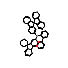 C1=CCC2C3=CCC(N(C4=CC5=C(CC4)C4=C(C=CCC4)C54C5=C(CCC=C5)C5=C4C=CCC5)C4=CCCC=C4c4ccccc4)C=C3C3(CCCCC3)C2=C1